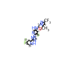 Cc1cc(C(F)(F)F)nn1CC(=O)Nc1cnc(-n2cnc(C3CC(F)(F)CCN3)n2)c(F)c1